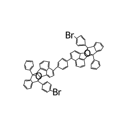 Brc1ccc(C23OC(c4ccccc4)(c4ccccc42)C2c4cccc5c(-c6ccc(-c7ccc8c9c(cccc79)C7C8C8(c9ccc(Br)cc9)OC7(c7ccccc7)c7ccccc78)cc6)ccc(c45)C23)cc1